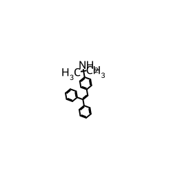 CC(C)(N)c1ccc(C=C(c2ccccc2)c2ccccc2)cc1